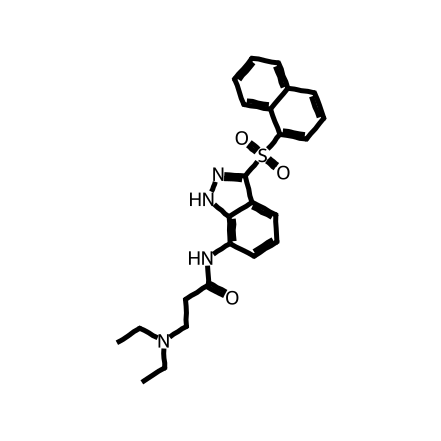 CCN(CC)CCC(=O)Nc1cccc2c(S(=O)(=O)c3cccc4ccccc34)n[nH]c12